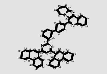 c1cc(-c2ccc(-c3nc4ccccc4c4nc5ccccn5c34)cc2)cc(-c2nc(-c3cc4ccccc4c4ccccc34)cc(-c3cc4ccccc4c4ccccc34)n2)c1